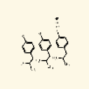 CC(C)Cc1ccc([S])cc1.CC(C)Cc1ccc([S])cc1.CC(C)Cc1ccc([S])cc1.F.F.F